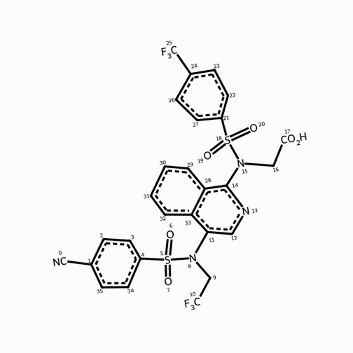 N#Cc1ccc(S(=O)(=O)N(CC(F)(F)F)c2cnc(N(CC(=O)O)S(=O)(=O)c3ccc(C(F)(F)F)cc3)c3ccccc23)cc1